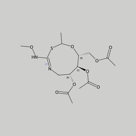 CON/C1=N/C[C@@H](OC(C)=O)[C@H](OC(C)=O)[C@@H](COC(C)=O)OC(C)S1